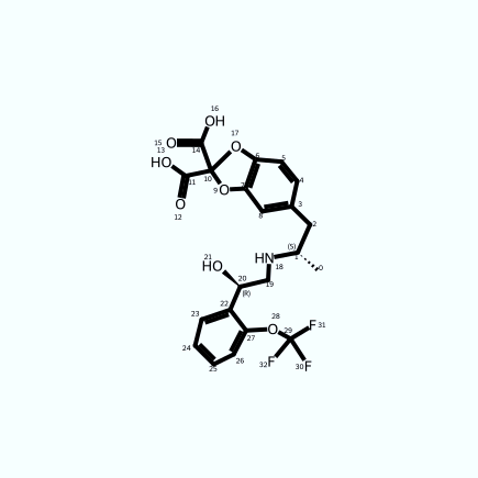 C[C@@H](Cc1ccc2c(c1)OC(C(=O)O)(C(=O)O)O2)NC[C@H](O)c1ccccc1OC(F)(F)F